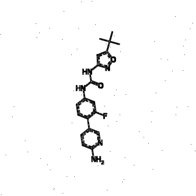 CC(C)(C)c1cc(NC(=O)Nc2ccc(-c3ccc(N)nc3)c(F)c2)no1